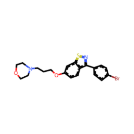 Brc1ccc(-c2nsc3cc(OCCCN4CCOCC4)ccc23)cc1